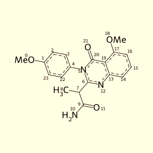 COc1ccc(-n2c(C(C)C(N)=O)nc3cccc(OC)c3c2=O)cc1